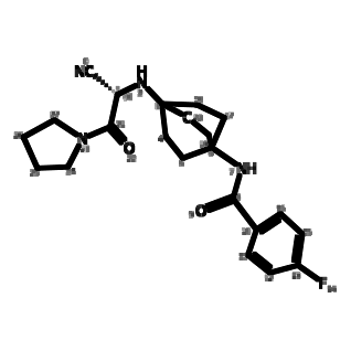 N#C[C@H](NC12CCC(NC(=O)c3ccc(F)cc3)(CC1)CC2)C(=O)N1CCCC1